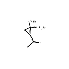 CCOC(=O)C1(C(=O)OCC)CC1C(F)F